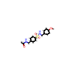 COc1ccc(CNS(=O)(=O)c2ccc(CNC(C)=O)cc2)cc1